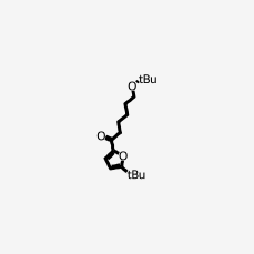 CC(C)(C)OCCCCCC(=O)c1ccc(C(C)(C)C)o1